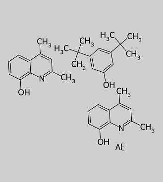 CC(C)(C)c1cc(O)cc(C(C)(C)C)c1.Cc1cc(C)c2cccc(O)c2n1.Cc1cc(C)c2cccc(O)c2n1.[Al]